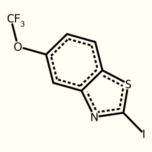 FC(F)(F)Oc1ccc2sc(I)nc2c1